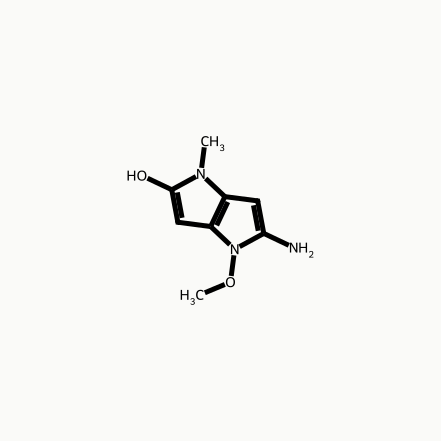 COn1c(N)cc2c1cc(O)n2C